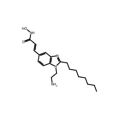 CCCCCCCCc1nc2cc(C=CC(=O)NO)ccc2n1CCN